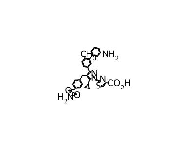 Cc1ccc(-c2nn(-c3nc(C(=O)O)cs3)c(C3CC3)c2Cc2ccc(S(N)(=O)=O)cc2)cc1-c1cccc(N)c1